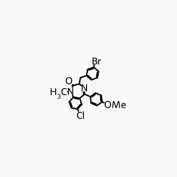 COc1ccc(C2=NC(Cc3cccc(Br)c3)C(=O)N(C)c3ccc(Cl)cc32)cc1